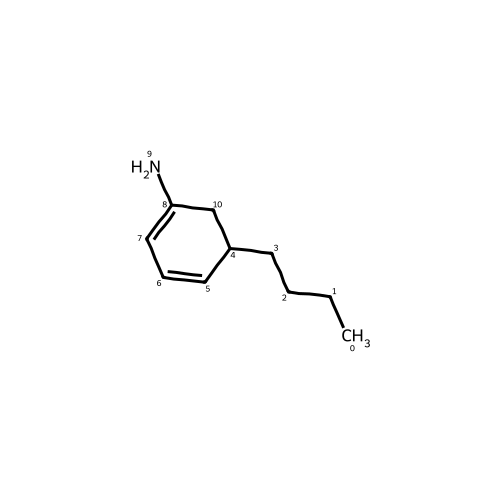 CCCCC1C=CC=C(N)C1